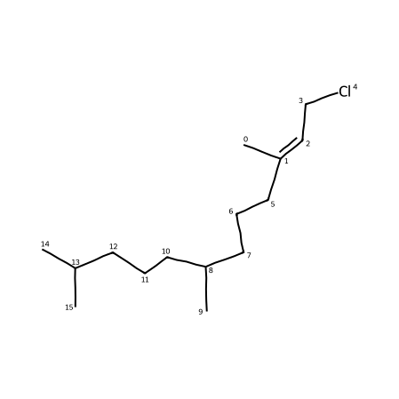 C/C(=C\CCl)CCCC(C)CCCC(C)C